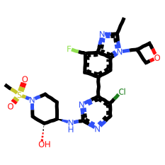 Cc1nc2c(F)cc(-c3nc(N[C@@H]4CCN(S(C)(=O)=O)C[C@H]4O)ncc3Cl)cc2n1C1COC1